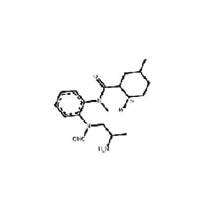 CC(N)CN(C=O)c1ccccc1N(C)C(=O)C1CC(C)CC[C@H]1C(C)C